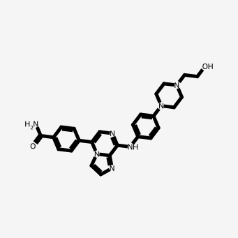 NC(=O)c1ccc(-c2cnc(Nc3ccc(N4CCN(CCO)CC4)cc3)c3nccn23)cc1